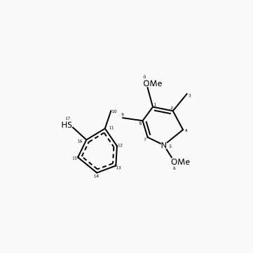 COC1=C(C)CN(OC)C=C1C.Cc1ccccc1S